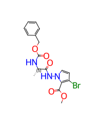 COC(=O)c1c(Br)ccn1NC(=O)[C@H](C)NC(=O)OCc1ccccc1